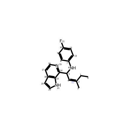 CC/C(C)=C\C(Nc1ccc(F)cc1)c1nccc2cc[nH]c12